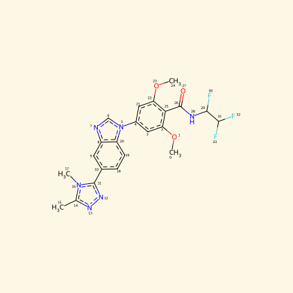 COc1cc(-n2cnc3cc(-c4nnc(C)n4C)ccc32)cc(OC)c1C(=O)NC(F)C(F)F